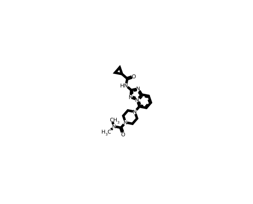 CN(C)C(=O)N1CCN(c2cccc3nc(NC(=O)C4CC4)nn23)CC1